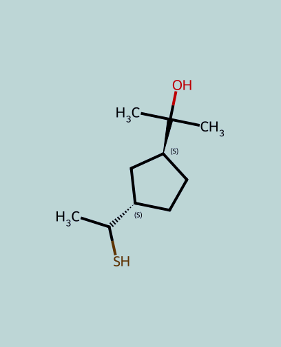 CC(S)[C@H]1CC[C@H](C(C)(C)O)C1